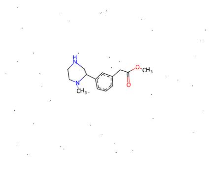 COC(=O)Cc1cccc(C2CNCCN2C)c1